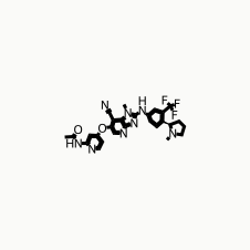 CC(=O)Nc1cc(Oc2cnc3nc(Nc4ccc([C@H]5CCCN5C)c(C(F)(F)F)c4)n(C)c3c2C#N)ccn1